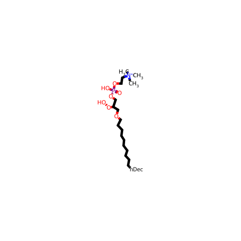 CCCCCCCCCCCCCCCCCCCCOCC(COP(=O)(O)OCC[N+](C)(C)C)OO